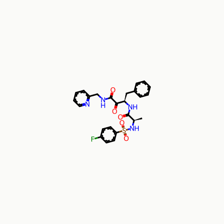 C[C@@H](NS(=O)(=O)c1ccc(F)cc1)C(=O)N[C@H](Cc1ccccc1)C(=O)C(=O)NCc1ccccn1